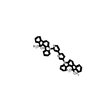 CC1(C)c2ccccc2-c2ccc3c(c21)c1ccccc1n3-c1ccc(-c2ccnc(-n3c4ccccc4c4c5c(ccc43)-c3ccccc3C5(C)C)c2)nc1